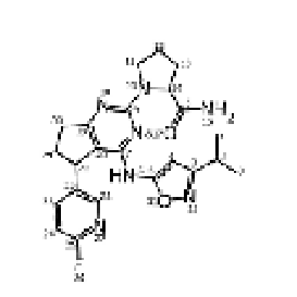 CC(C)c1cc(Nc2nc(N3CCCC3C(N)=O)nc3c2C(c2ccc(F)nc2)CC3)on1